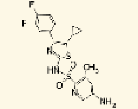 Cc1cc(N)cnc1S(=O)(=O)Nc1nc(-c2ccc(F)c(F)c2)c(C2CC2)s1